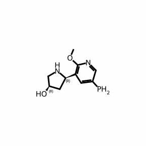 COc1ncc(P)cc1[C@H]1C[C@@H](O)CN1